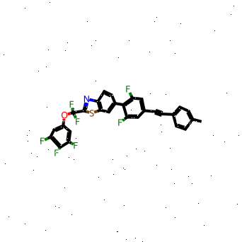 Cc1ccc(C#Cc2cc(F)c(-c3ccc4nc(C(F)(F)Oc5cc(F)c(F)c(F)c5)sc4c3)c(F)c2)cc1